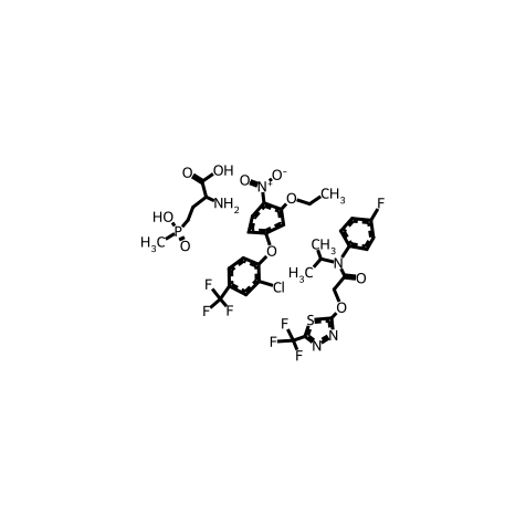 CC(C)N(C(=O)COc1nnc(C(F)(F)F)s1)c1ccc(F)cc1.CCOc1cc(Oc2ccc(C(F)(F)F)cc2Cl)ccc1[N+](=O)[O-].CP(=O)(O)CCC(N)C(=O)O